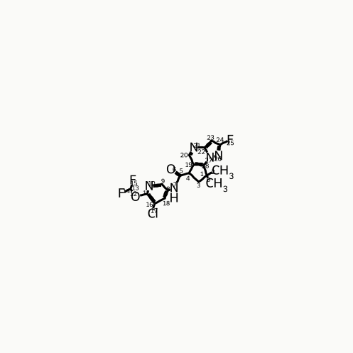 CC1(C)CC(C(=O)Nc2cnc(OC(F)F)c(Cl)c2)c2cnc3cc(F)nn3c21